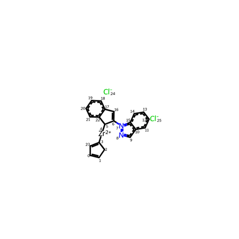 C1=CC[C]([Zr+2][CH]2C(n3ncc4ccccc43)=Cc3ccccc32)=C1.[Cl-].[Cl-]